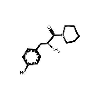 N#Cc1ccc(C[C@H](N)C(=O)N2CCCCC2)cc1